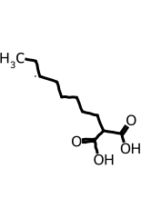 CC[CH]CCCCCC(C(=O)O)C(=O)O